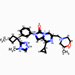 C[C@@H]1CN(Cc2cn3c(=O)n(-c4cccc([C@]5(c6nncn6C)C[C@@H](C)C5)c4)cc3c(C3CC3)n2)CCO1